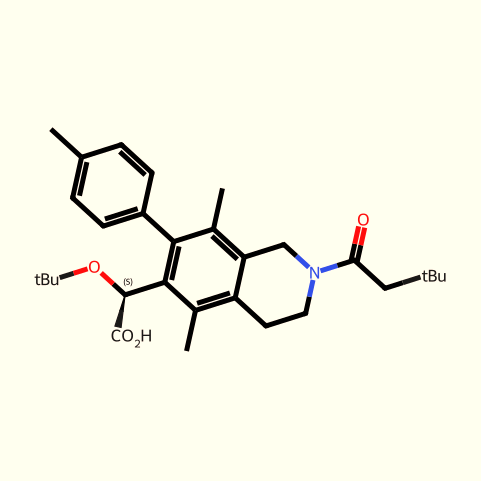 Cc1ccc(-c2c(C)c3c(c(C)c2[C@H](OC(C)(C)C)C(=O)O)CCN(C(=O)CC(C)(C)C)C3)cc1